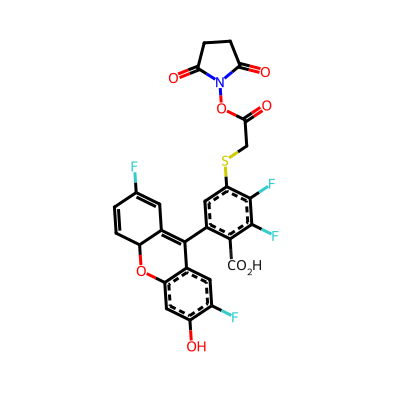 O=C(CSc1cc(C2=C3C=C(F)C=CC3Oc3cc(O)c(F)cc32)c(C(=O)O)c(F)c1F)ON1C(=O)CCC1=O